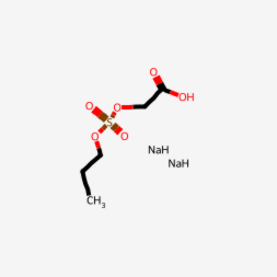 CCCOS(=O)(=O)OCC(=O)O.[NaH].[NaH]